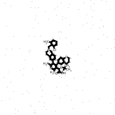 Cc1cccc(Cl)c1CN1CCc2cc(-c3c(N)nc(C)c([C@H](OC(C)(C)C)C(=O)O)c3-c3ccc4c(c3)CCCO4)ccc2C1